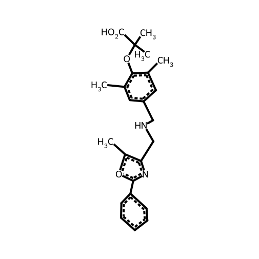 Cc1cc(CNCc2nc(-c3ccccc3)oc2C)cc(C)c1OC(C)(C)C(=O)O